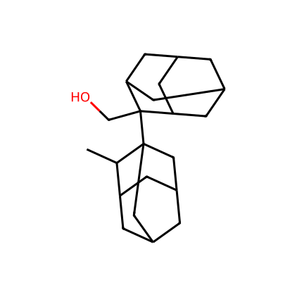 CC1C2CC3CC(C2)CC1(C1(CO)C2CC4CC(C2)CC1C4)C3